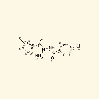 C/C(=N\NC(=O)c1ccc(Cl)cc1)c1cc(C)ccc1N